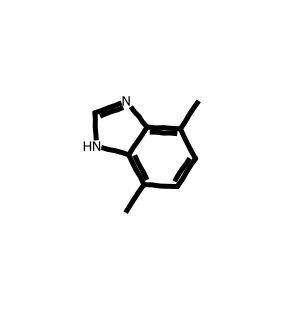 Cc1ccc(C)c2[nH]cnc12